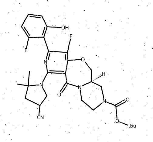 CC(C)(C)OC(=O)N1CCN2C(=O)c3c(N4CC(C#N)CC4(C)C)nc(-c4c(O)cccc4F)c(F)c3OC[C@H]2C1